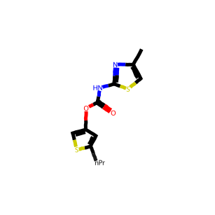 CCCc1cc(OC(=O)Nc2nc(C)cs2)cs1